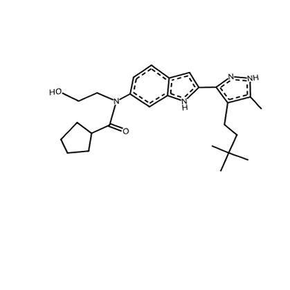 Cc1[nH]nc(-c2cc3ccc(N(CCO)C(=O)C4CCCC4)cc3[nH]2)c1CCC(C)(C)C